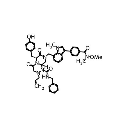 C=CCN1CC(=O)N2[C@@H](Cc3ccc(O)cc3)C(=O)N(Cc3cccc4c(-c5ccc(C(=O)N(C)OC)cc5)cn(C)c34)C[C@@H]2N1C(=O)NCc1ccccc1